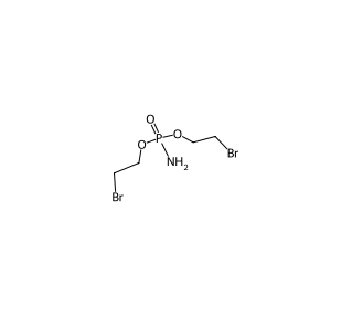 NP(=O)(OCCBr)OCCBr